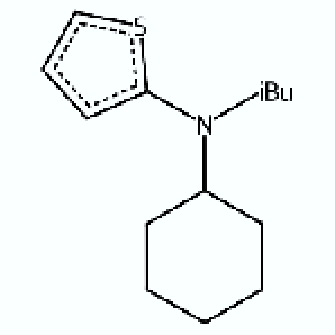 CCC(C)N(c1cccs1)C1CCCCC1